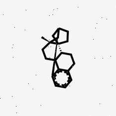 C[C@]12CCC3c4c5cccc4[C@@]4(CC[C@@]1(C4)C3CC5)C2